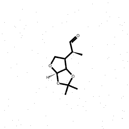 C[C@H](C=O)C1CO[C@@H]2OC(C)(C)OC12